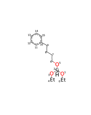 CCO[SiH](OCC)OCCCCc1ccccc1